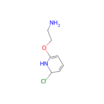 NCCOC1=CC=CC(Cl)N1